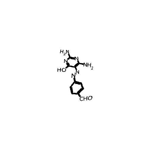 Nc1nc(N)c(N=Nc2ccc(C=O)cc2)c(O)n1